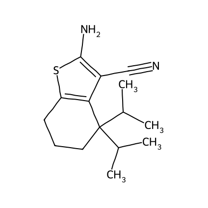 CC(C)C1(C(C)C)CCCc2sc(N)c(C#N)c21